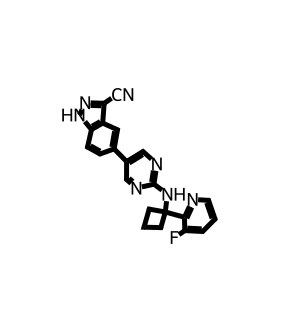 N#Cc1n[nH]c2ccc(-c3cnc(NC4(c5ncccc5F)CCC4)nc3)cc12